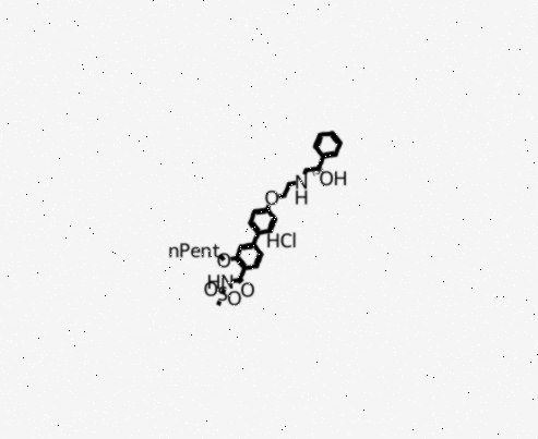 CCCCCOc1cc(-c2ccc(OCCNC[C@@H](O)c3ccccc3)cc2)ccc1C(=O)NS(C)(=O)=O.Cl